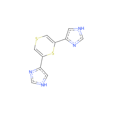 C1=C(c2c[nH]cn2)SC(c2c[nH]cn2)=CS1